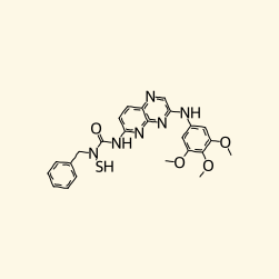 COc1cc(Nc2cnc3ccc(NC(=O)N(S)Cc4ccccc4)nc3n2)cc(OC)c1OC